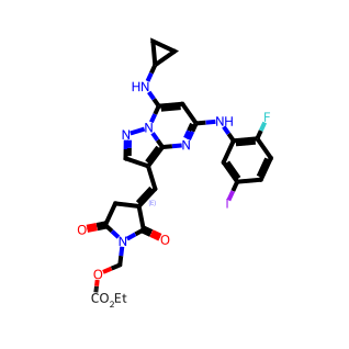 CCOC(=O)OCN1C(=O)C/C(=C\c2cnn3c(NC4CC4)cc(Nc4cc(I)ccc4F)nc23)C1=O